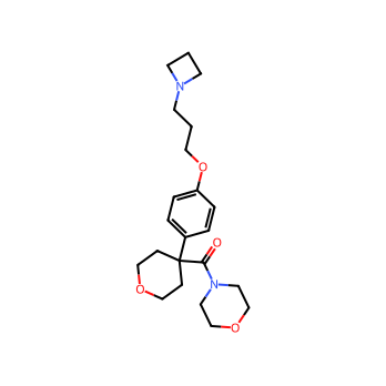 O=C(N1CCOCC1)C1(c2ccc(OCCCN3CCC3)cc2)CCOCC1